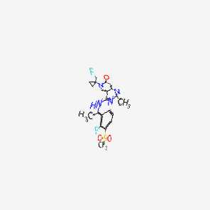 Cc1nc(N[C@H](C)c2cccc(S(=O)(=O)C(F)(F)F)c2F)c2cn(C3(CF)CC3)c(=O)cc2n1